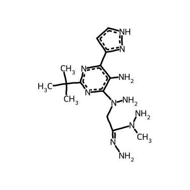 CN(N)/C(CN(N)c1nc(C(C)(C)C)nc(-c2cc[nH]n2)c1N)=N\N